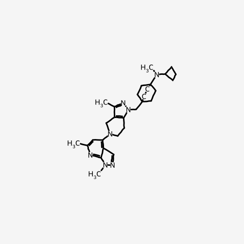 Cc1cc(N2CCc3c(c(C)nn3CC34CCC(N(C)C5CCC5)(CC3)CC4)C2)c2cnn(C)c2n1